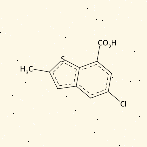 Cc1cc2cc(Cl)cc(C(=O)O)c2s1